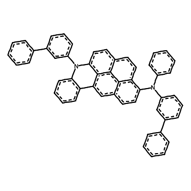 c1ccc(-c2cccc(N(c3ccccc3)c3ccc4cc5c6c(ccc7ccc3c4c76)N(c3cccc(-c4ccccc4)c3)c3ccccc3-5)c2)cc1